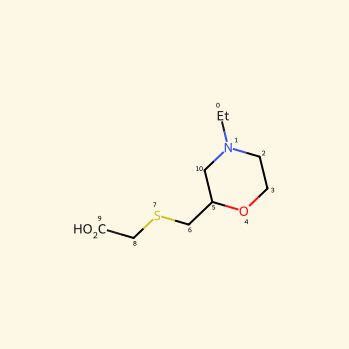 CCN1CCOC(CSCC(=O)O)C1